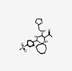 CC(=O)C1NC2(CCCCCCC2)C(c2ccc(S(C)(=O)=O)cc2)NC1NCC1CCCS1